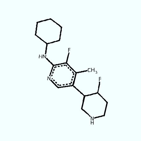 Cc1c(C2CNCCC2F)cnc(NC2CCCCC2)c1F